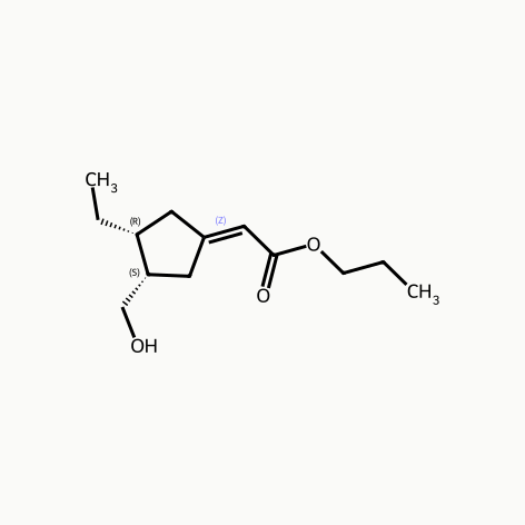 CCCOC(=O)/C=C1/C[C@@H](CC)[C@@H](CO)C1